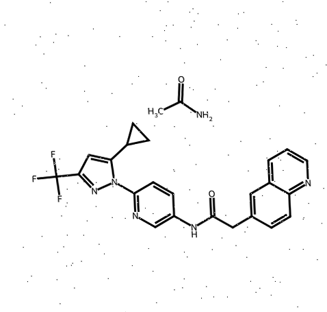 CC(N)=O.O=C(Cc1ccc2ncccc2c1)Nc1ccc(-n2nc(C(F)(F)F)cc2C2CC2)nc1